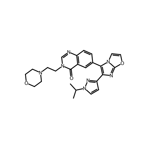 CC(C)n1ccc(-c2nc3occn3c2-c2ccc3ncn(CCN4CCOCC4)c(=O)c3c2)n1